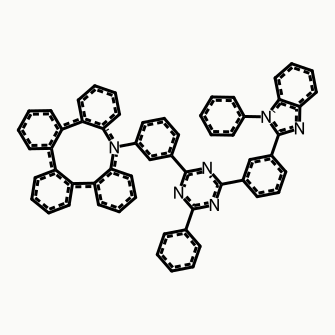 c1ccc(-c2nc(-c3cccc(-c4nc5ccccc5n4-c4ccccc4)c3)nc(-c3cccc(-n4c5ccccc5c5ccccc5c5ccccc5c5ccccc54)c3)n2)cc1